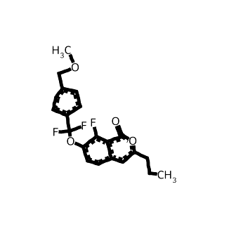 CCCc1cc2ccc(OC(F)(F)c3ccc(COC)cc3)c(F)c2c(=O)o1